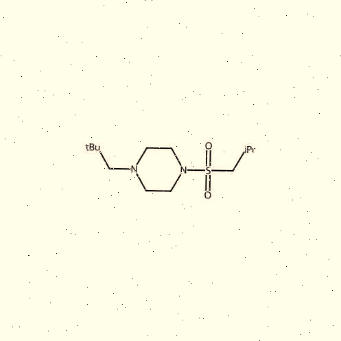 CC(C)CS(=O)(=O)N1CCN(CC(C)(C)C)CC1